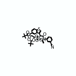 C=CN(C(=O)C(c1csc2ccc(Cl)cc12)P(=O)(O)OC(COC(=O)C(C)(C)C)OC(=O)C(C)(C)C)c1cccc(C#N)c1